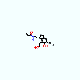 Bc1cc2c(c(CCO)c1O)[C@H](CCNC(=O)CC)CC2